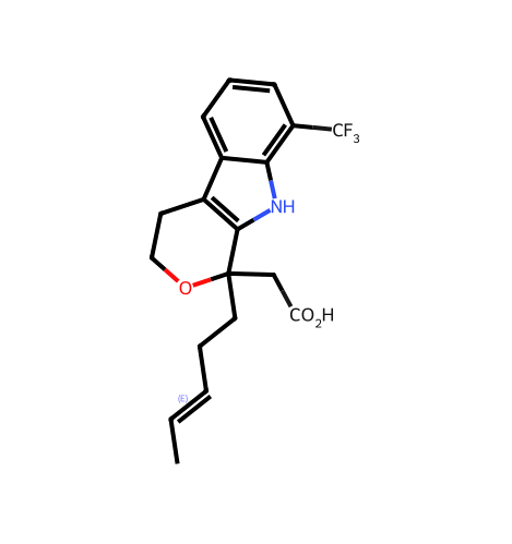 C/C=C/CCC1(CC(=O)O)OCCc2c1[nH]c1c(C(F)(F)F)cccc21